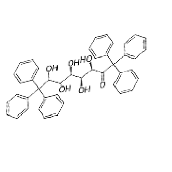 O=C([C@H](O)[C@@H](O)[C@H](O)[C@H](O)C(O)C(c1ccccc1)(c1ccccc1)c1ccccc1)C(c1ccccc1)(c1ccccc1)c1ccccc1